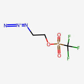 [N-]=[N+]=NCCOS(=O)(=O)C(F)(F)F